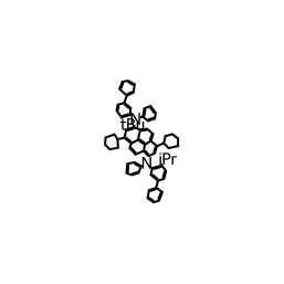 CC(C)c1ccc(-c2ccccc2)cc1N(c1ccccc1)c1cc(C2CCCCC2)c2ccc3c(N(c4ccccc4)c4cc(-c5ccccc5)ccc4C(C)(C)C)cc(C4CCCCC4)c4ccc1c2c43